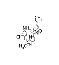 CCCC=CS(=O)(=O)NC(=O)c1ccc2nc(C)n(Cc3ccc(N)cc3Cl)c2n1